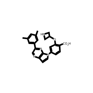 Cc1cc(C)cc(-c2cnc3ccn(-c4ccc(C(=O)O)c(OC5CNC5)c4)c3n2)c1